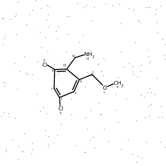 COCc1cc(Cl)cc(Cl)c1CN